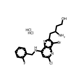 Cl.Cl.NC(CCO)Cc1sc2c(NCc3ccccc3F)cc(Cl)nc2c1Br